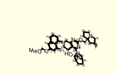 COCOc1cc(F)c2c(N3CCc4c(nc(OC[C@@]56CCCN5C[C@H](F)C6)nc4N4CC5CCC(C4)N5C(=O)O)C3)cccc2c1